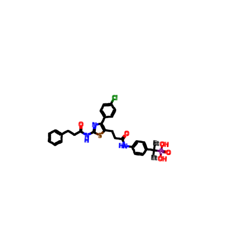 CCC(CC)(c1ccc(NC(=O)CCc2sc(NC(=O)CCc3ccccc3)nc2-c2ccc(Cl)cc2)cc1)P(=O)(O)O